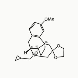 COc1ccc2c(c1)[C@]13CCN(CC4CC4)[C@H](C2)[C@]1(O)CCC1(C3)OCCO1